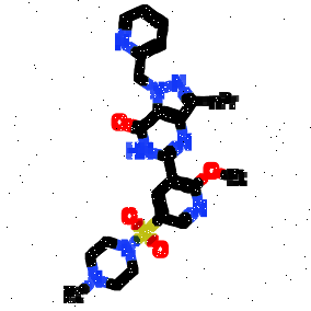 CCCc1nn(Cc2ccccn2)c2c(=O)[nH]c(-c3cc(S(=O)(=O)N4CCN(CC)CC4)cnc3OCC)nc12